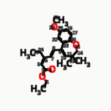 CCOC(=O)/C=C(\C=C\C1=CC(C)(C)COc2ccc(OC)cc21)CC